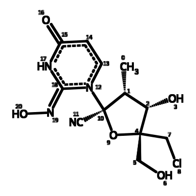 C[C@@H]1[C@H](O)[C@](CO)(CCl)O[C@@]1(C#N)n1ccc(=O)[nH]/c1=N\O